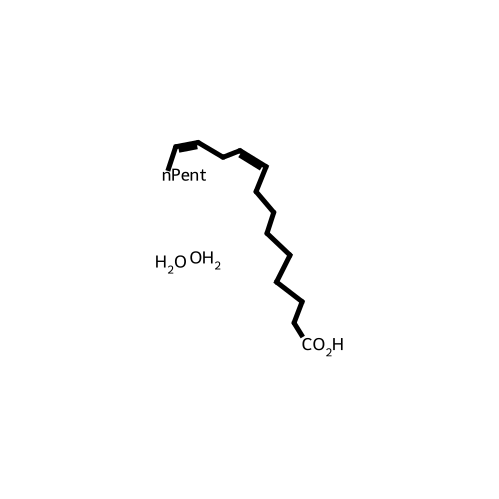 CCCCC/C=C\C/C=C\CCCCCCCC(=O)O.O.O